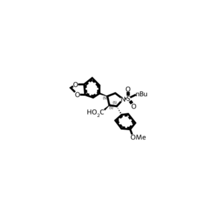 CCCCS(=O)(=O)N1C[C@H](c2ccc3c(c2)OCO3)[C@H](C(=O)O)[C@H]1c1ccc(OC)cc1